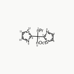 CCCCCCCCC(CCC)(c1nccs1)c1nccs1